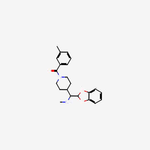 CNC(C1CCN(C(=O)c2cccc(C)c2)CC1)C1Oc2ccccc2O1